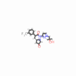 CC(C)(O)Cn1ccc(NC(=O)C(C[C@H]2CCC(=O)C2)c2cccc(C(F)(F)F)c2)n1